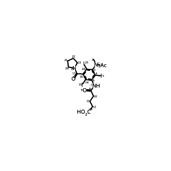 CC(=O)N(C)c1c(I)c(NC(=O)CCCC(=O)O)c(I)c(C(=O)N2CCCC2)c1I